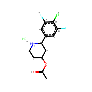 CC(=O)OC1CCNC(c2cc(F)c(Cl)c(F)c2)C1.Cl